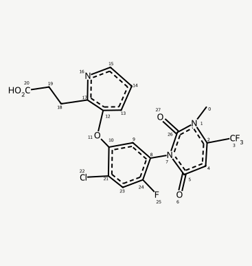 Cn1c(C(F)(F)F)cc(=O)n(-c2cc(Oc3cccnc3CCC(=O)O)c(Cl)cc2F)c1=O